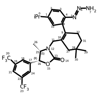 CC(C)c1ccc(N=NN)c(C2=C(CN3C(=O)O[C@H](c4cc(C(F)(F)F)cc(C(F)(F)F)c4)[C@@H]3C)CC(C)(C)CC2)c1